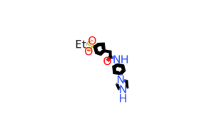 CCS(=O)(=O)c1ccc(CC(=O)Nc2ccc(N3CCNCC3)cc2)cc1